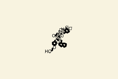 N#CCN(C(=O)NCc1ccc(Cl)c(Cl)c1)N1CC(=O)N2[C@@H](Cc3ccc(OCCO)cc3)C(=O)N(Cc3cccc4ccccc34)C[C@@H]21